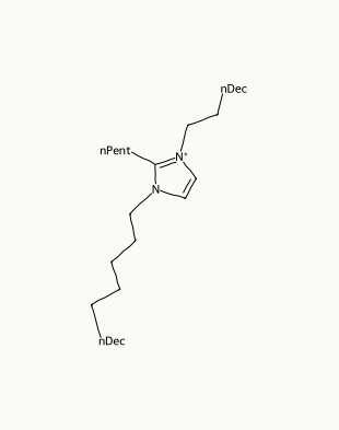 CCCCCCCCCCCCCCCn1cc[n+](CCCCCCCCCCCC)c1CCCCC